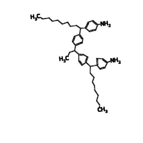 CCCCCCCCCC(c1ccc(N)cc1)c1ccc(C(CC)c2ccc(C(CCCCCCCCC)c3ccc(N)cc3)cc2)cc1